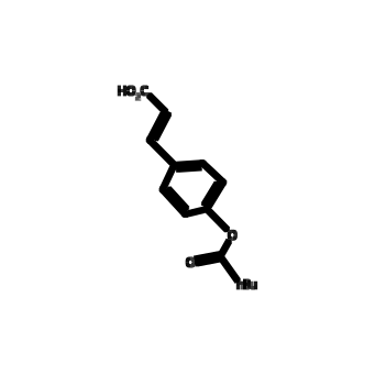 CCCCC(=O)Oc1ccc(C=CC(=O)O)cc1